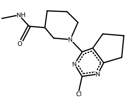 CNC(=O)C1CCCN(c2nc(Cl)nc3c2CCC3)C1